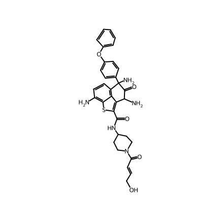 Nc1ccc2c3c(c(C(=O)NC4CCN(C(=O)/C=C/CO)CC4)sc13)C(N)C(=O)C2(N)c1ccc(Oc2ccccc2)cc1